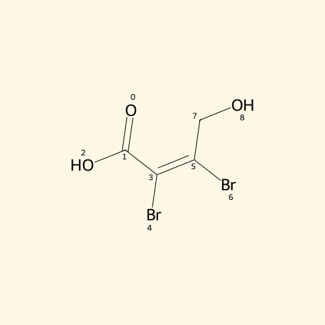 O=C(O)/C(Br)=C(/Br)CO